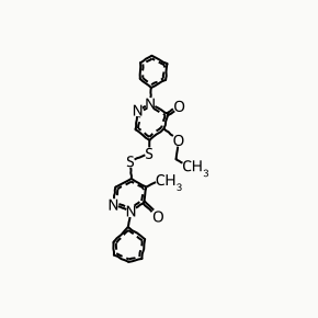 CCOc1c(SSc2cnn(-c3ccccc3)c(=O)c2C)cnn(-c2ccccc2)c1=O